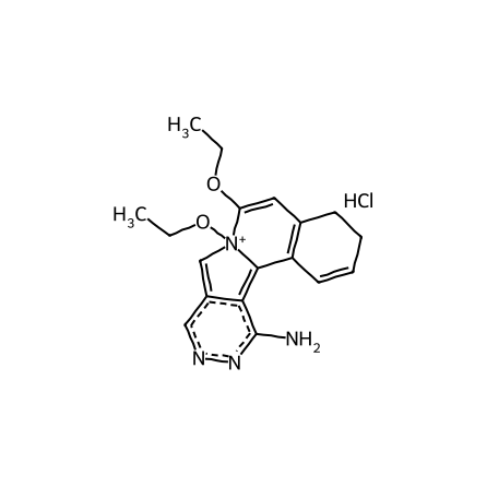 CCOC1=CC2=C(C=CCC2)C2=c3c(N)nncc3=C[N+]12OCC.Cl